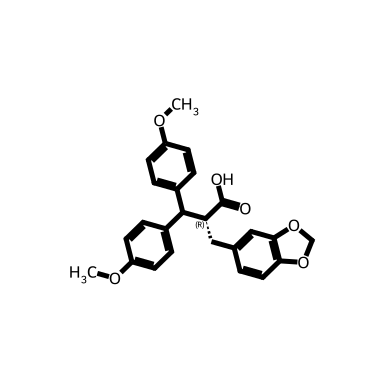 COc1ccc(C(c2ccc(OC)cc2)[C@@H](Cc2ccc3c(c2)OCO3)C(=O)O)cc1